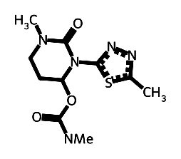 CNC(=O)OC1CCN(C)C(=O)N1c1nnc(C)s1